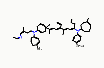 C=CC\C(=C/C=C(C)/C(C=C)=C/C=C(\C)C1(C)C=CCC(N(CC/C(C)=C\N=C/C)C2=CC=C(CCCC)CC=C2)=CC1)N(c1ccc(CCCCC)cc1)C1/C=C\C/C=C(/C)CC1